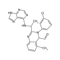 Cc1cccc2c1C(C=O)N(c1cccc(Cl)c1)C(C(C)Nc1ncnc3[nH]cnc13)=N2